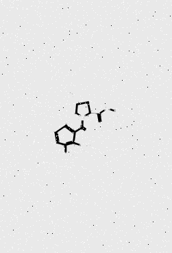 CCNC(=O)[C@@H]1C[C@@H](N)CN1C(=O)c1cccc(OC)c1OC